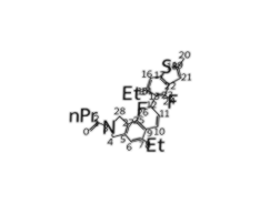 C=C(CCC)N1Cc2cc(CC)c(/C=C\Cc3c(CC)cc4sc(C)cc4c3F)c(F)c2C1